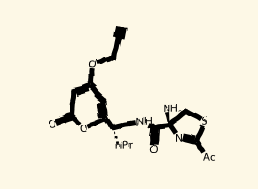 C#CCOc1cc([C@@H](CCC)NC(=O)[C@]2(N)CSC(C(C)=O)=N2)oc(=O)c1